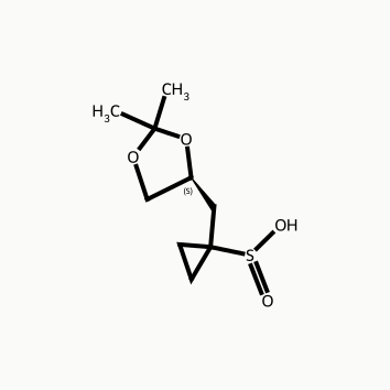 CC1(C)OC[C@H](CC2(S(=O)O)CC2)O1